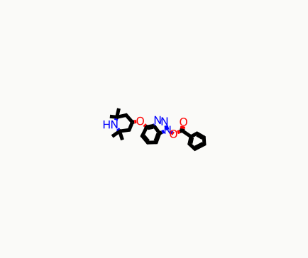 CC1(C)CC(Oc2cccc3c2nnn3OC(=O)c2ccccc2)CC(C)(C)N1